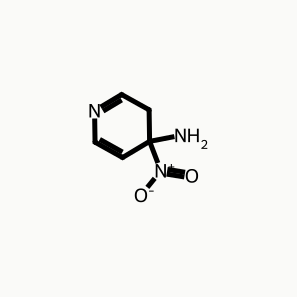 NC1([N+](=O)[O-])C=CN=CC1